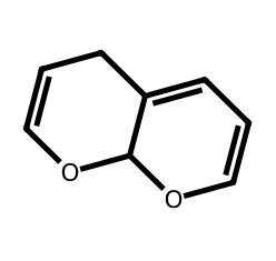 C1=COC2OC=CCC2=C1